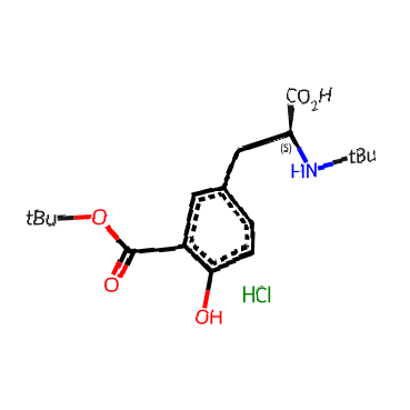 CC(C)(C)N[C@@H](Cc1ccc(O)c(C(=O)OC(C)(C)C)c1)C(=O)O.Cl